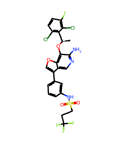 C[C@@H](Oc1c(N)ncc2c(-c3cccc(NS(=O)(=O)CCC(F)(F)F)c3)coc12)c1c(Cl)ccc(F)c1Cl